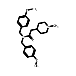 COc1ccc(CN(Cc2ccc(OC)cc2)C(=O)CC2CCN(C)CC2)cc1